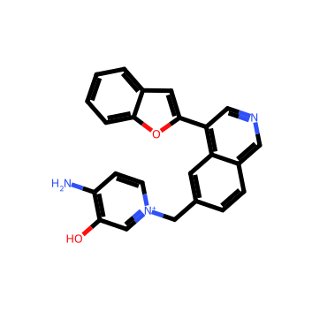 Nc1cc[n+](Cc2ccc3cncc(-c4cc5ccccc5o4)c3c2)cc1O